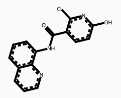 O=C(Nc1cccc2cccnc12)c1ccc(O)nc1Cl